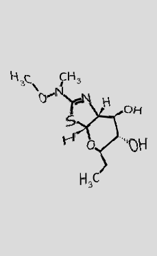 CC[C@H]1O[C@@H]2SC(N(C)OC)=N[C@@H]2[C@@H](O)[C@@H]1O